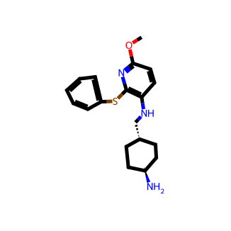 COc1ccc(NC[C@H]2CC[C@H](N)CC2)c(Sc2ccccc2)n1